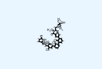 COc1nc(-c2cccc(-c3cccc(-c4cc5c(=O)n(C)c(CNCC(C)(C)O)nn5c4)c3Cl)c2Cl)cc(Cl)c1CNCC1CCC(=O)N1